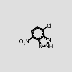 O=[N+]([O-])c1ccc(Cl)c2n[nH]nc12